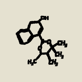 CC1OB(c2cc(O)cc3ccccc23)OC(C)(C)C1C